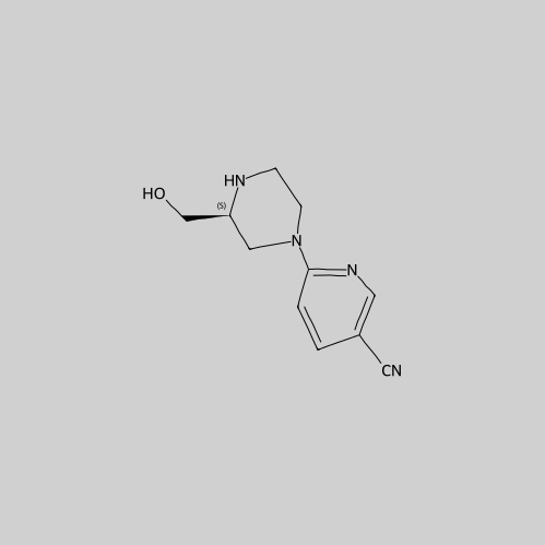 N#Cc1ccc(N2CCN[C@H](CO)C2)nc1